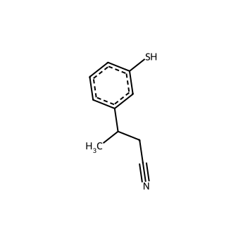 CC(CC#N)c1cccc(S)c1